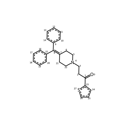 O=C(CCN1CCC(=C(c2ccccc2)c2ccccc2)CC1)c1cccs1